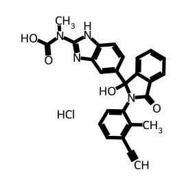 C#Cc1cccc(N2C(=O)c3ccccc3C2(O)c2ccc3[nH]c(N(C)C(=O)O)nc3c2)c1C.Cl